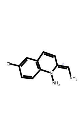 N/C=C1/C=Cc2cc(Cl)ccc2N1N